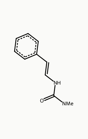 CNC(=O)N/C=C/c1ccccc1